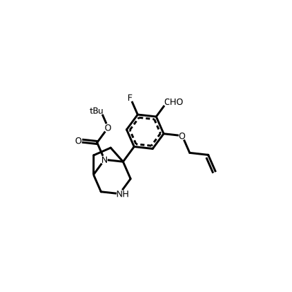 C=CCOc1cc(C23CCC(CNC2)N3C(=O)OC(C)(C)C)cc(F)c1C=O